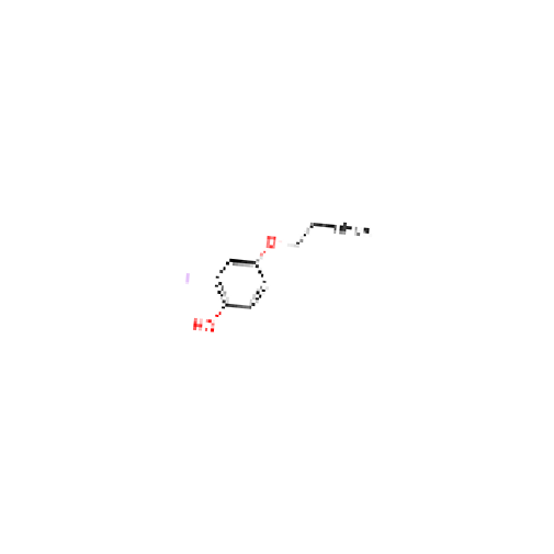 CCCCCCCCOc1ccc(O)c(I)c1